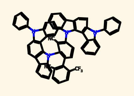 N#Cc1cccc(C(F)(F)F)c1-c1ccc(-n2c3ccccc3c3ccc4c(c5ccccc5n4-c4ccccc4)c32)c(C#N)c1-n1c2ccccc2c2ccc3c(c4ccccc4n3-c3ccccc3)c21